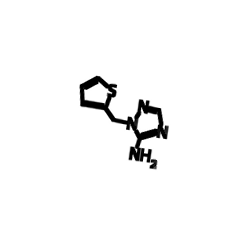 Nc1ncnn1Cc1cccs1